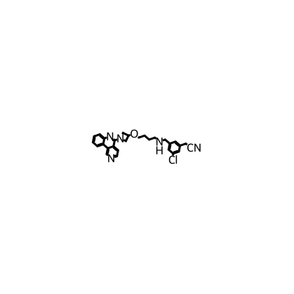 N#CCc1cc(Cl)cc(CNCCCCOC2CN(c3nc4ccccc4c4cnccc34)C2)c1